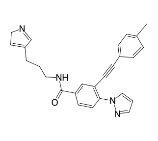 Cc1ccc(C#Cc2cc(C(=O)NCCCC3=CCN=C3)ccc2-n2cccn2)cc1